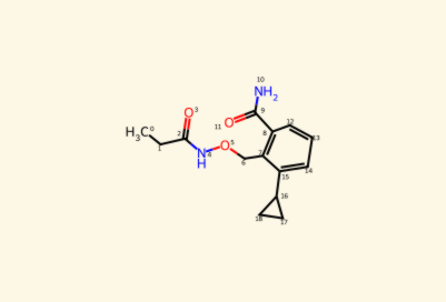 CCC(=O)NOCc1c(C(N)=O)cccc1C1CC1